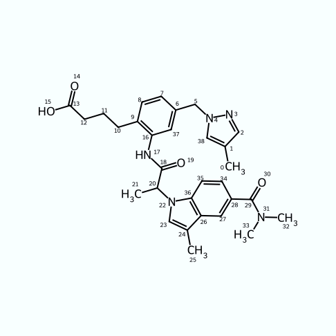 Cc1cnn(Cc2ccc(CCCC(=O)O)c(NC(=O)C(C)n3cc(C)c4cc(C(=O)N(C)C)ccc43)c2)c1